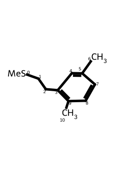 CSCCc1cc(C)ccc1C